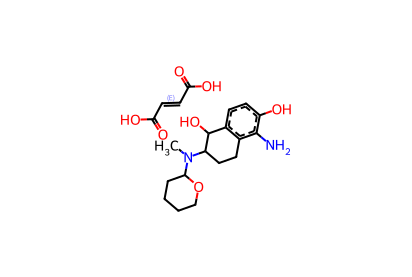 CN(C1CCCCO1)C1CCc2c(ccc(O)c2N)C1O.O=C(O)/C=C/C(=O)O